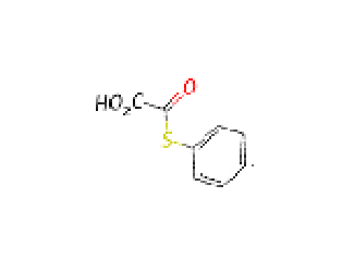 O=C(O)C(=O)Sc1cc[c]cc1